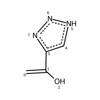 C=C(O)c1c[nH]nn1